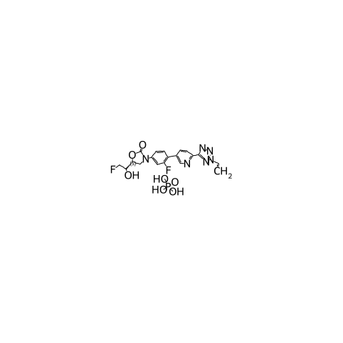 C=Cn1nnc(-c2ccc(-c3ccc(N4C[C@@H](C(O)CF)OC4=O)cc3F)cn2)n1.O=P(O)(O)O